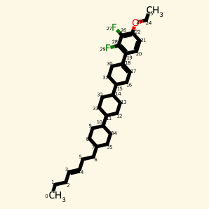 CCC/C=C/CCC1CCC(C2CCC(C3CC=C(c4ccc(OCC)c(F)c4F)CC3)CC2)CC1